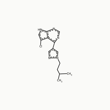 CC(C)CCn1cc(-c2ncnc3[nH]cc(Cl)c23)cn1